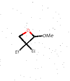 CCC1(CC)COC1OC